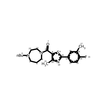 CCCCN1CCCN(C(=O)c2sc(-c3ccc(F)c(C)c3)nc2C)CC1